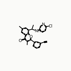 C#Cc1cccc(-c2oc3c(C(C)Nc4ccc(Cl)nc4)cc(C)cc3c(=O)c2C)c1